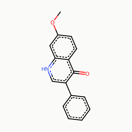 COc1ccc2c(=O)c(-c3ccccc3)c[nH]c2c1